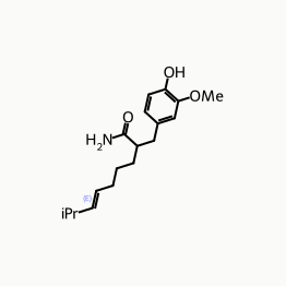 COc1cc(CC(CCC/C=C/C(C)C)C(N)=O)ccc1O